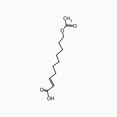 CC(=O)OCCCCCCCC=CC(=O)O